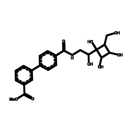 COC(=O)c1cccc(-c2ccc(C(=O)NCC(O)C3(O)C(O)C(O)C3CO)cc2)c1